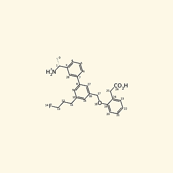 C[C@@H](N)c1cccc(-c2cc(CCCF)cc(COc3ccccc3CC(=O)O)c2)c1